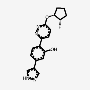 Oc1cc(-c2cn[nH]c2)ccc1-c1ccc(O[C@H]2CCC[C@H]2F)nn1